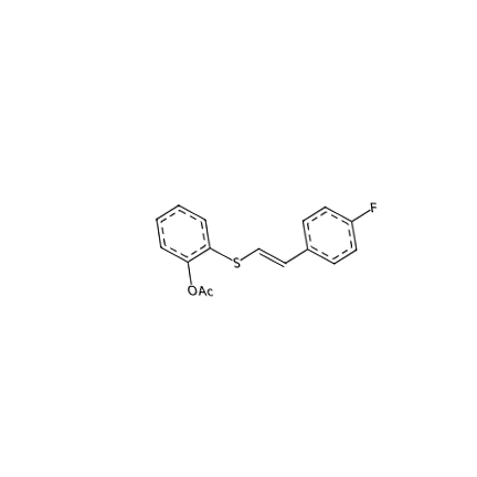 CC(=O)Oc1ccccc1SC=Cc1ccc(F)cc1